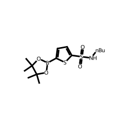 CCCCNS(=O)(=O)c1ccc(B2OC(C)(C)C(C)(C)O2)s1